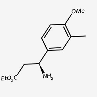 CCOC(=O)C[C@H](N)c1ccc(OC)c(C)c1